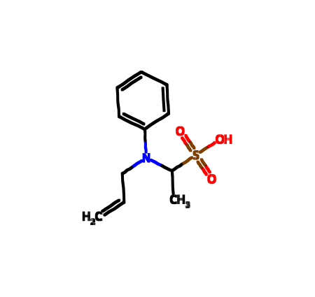 C=CCN(c1ccccc1)C(C)S(=O)(=O)O